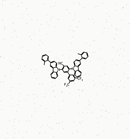 Cc1ccccc1-c1ccc2c(c1)c1ccccc1n2-c1cc(-c2cc(C(F)(F)F)cc(C(F)(F)F)c2)c(-n2c3ccccc3c3cc(-c4ccccc4C)ccc32)cc1C#N